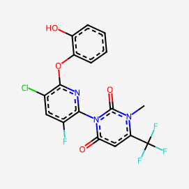 Cn1c(C(F)(F)F)cc(=O)n(-c2nc(Oc3ccccc3O)c(Cl)cc2F)c1=O